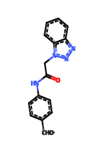 O=[C]c1ccc(NC(=O)Cn2nnc3ccccc32)cc1